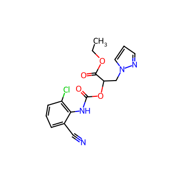 CCOC(=O)C(Cn1cccn1)OC(=O)Nc1c(Cl)cccc1C#N